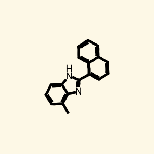 Cc1cccc2[nH]c(-c3cccc4ccccc34)nc12